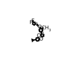 Cc1cc(N2CC[C@H](Oc3ccc(C4CC4)cc3)C2=O)ccc1OCCN1CCC(F)(F)C1